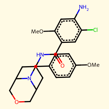 COc1ccc(CN2C3COCC2CC(NC(=O)c2cc(Cl)c(N)cc2OC)C3)cc1